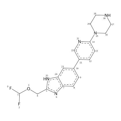 FC(F)OCc1nc2ccc(-c3ccc(N4CCNCC4)nc3)cc2[nH]1